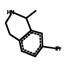 CC(C)c1ccc2c(c1)C(C)NCC2